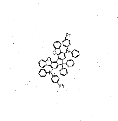 CC(C)c1ccc(N(c2ccccc2)c2cc3c(c4oc5ccccc5c24)-c2c(cc(N(c4ccccc4)c4ccc(C(C)C)cc4)c4c2oc2ccccc24)C3(c2ccccc2)c2ccccc2)cc1